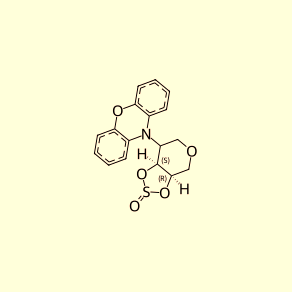 O=S1O[C@@H]2COCC(N3c4ccccc4Oc4ccccc43)[C@@H]2O1